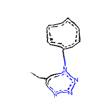 [CH2]c1nnnn1-c1ccccc1